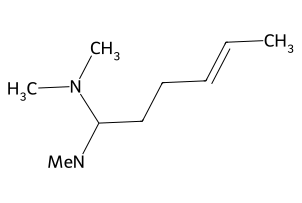 CC=CCCC(NC)N(C)C